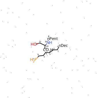 CCCCCCCCCCCCCCCCP.CCCCCNC(CO)C(=O)O